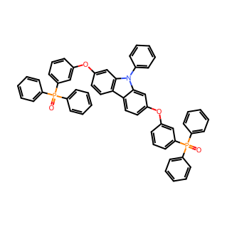 O=P(c1ccccc1)(c1ccccc1)c1cccc(Oc2ccc3c4ccc(Oc5cccc(P(=O)(c6ccccc6)c6ccccc6)c5)cc4n(-c4ccccc4)c3c2)c1